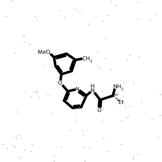 CC[C@@H](N)C(=O)Nc1cccc(Oc2cc(C)cc(OC)c2)n1